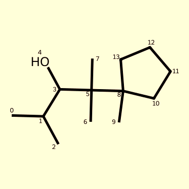 CC(C)C(O)C(C)(C)C1(C)CCCC1